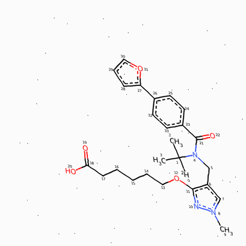 [2H]C(C)(C)N(Cc1cn(C)nc1OCCCCCC(=O)O)C(=O)c1ccc(-c2ccco2)cc1